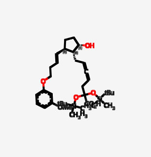 COc1cccc(OCCC=C[C@H]2CC[C@H](O)[C@@H]2CC=C=CCC(O[Si](C)(C)C(C)(C)C)(O[Si](C)(C)C(C)(C)C)C(=O)O)c1